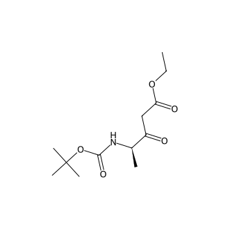 CCOC(=O)CC(=O)[C@@H](C)NC(=O)OC(C)(C)C